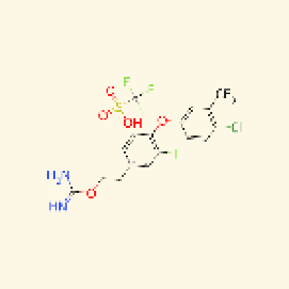 N=C(N)OCCc1ccc(Oc2ccc(Cl)c(C(F)(F)F)c2)c(F)c1.O=S(=O)(O)C(F)(F)F